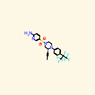 CC#C[C@H]1CN(S(=O)(=O)c2ccc(N)nc2)CCN1c1ccc(C(F)(C(F)(F)F)C(F)(F)F)cc1